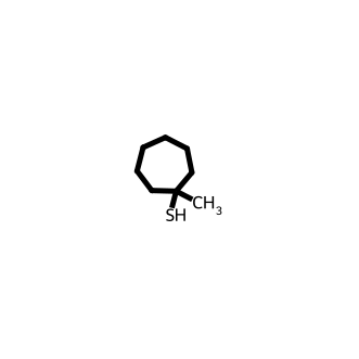 CC1(S)CCCCCC1